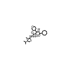 CC(C)[C@@H]1CSC(=NNC(=O)C(=O)C(NC(=O)C2CCCCCC2)C2CCOCC2)N1C